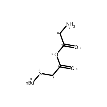 CCCCSCC(=O)OC(=O)CN